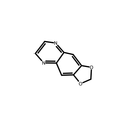 [c]1cnc2cc3c(cc2n1)OCO3